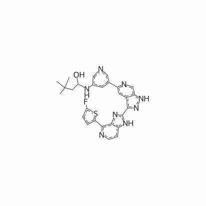 CC(C)(C)CC(O)Nc1cncc(-c2cc3c(-c4nc5c(-c6ccc(F)s6)nccc5[nH]4)n[nH]c3cn2)c1